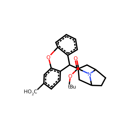 CC(C)(C)OC(=O)N1C2CCC1CC(C1c3ccccc3Oc3cc(C(=O)O)ccc31)C2